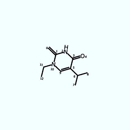 C=C1NC(=O)C(C(C)C)=CN1CC